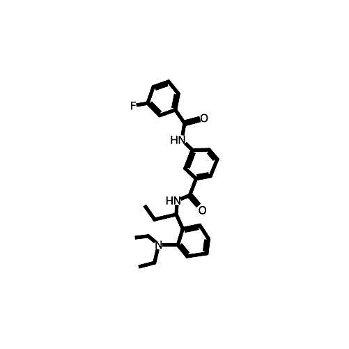 CCC(NC(=O)c1cccc(NC(=O)c2cccc(F)c2)c1)c1ccccc1N(CC)CC